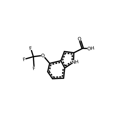 O=C(O)c1cc2c(OC(F)(F)F)cccc2[nH]1